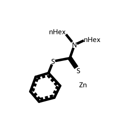 CCCCCCN(CCCCCC)C(=S)Sc1ccccc1.[Zn]